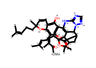 COC(=O)/C(C)=C\CC12OC(C)(C)C3CC(C1=O)C1C4=C(Nc5ncnn51)c1c(O)c5c(c(CC=C(C)C)c1OC432)OC(C)(CCC=C(C)C)C=C5